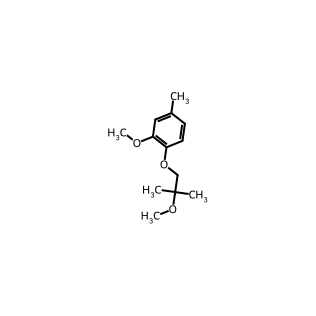 COc1cc(C)ccc1OCC(C)(C)OC